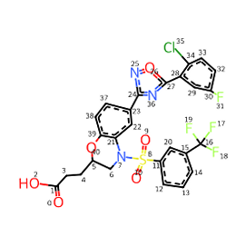 O=C(O)CCC1CN(S(=O)(=O)c2cccc(C(F)(F)F)c2)c2cc(-c3noc(-c4cc(F)ccc4Cl)n3)ccc2O1